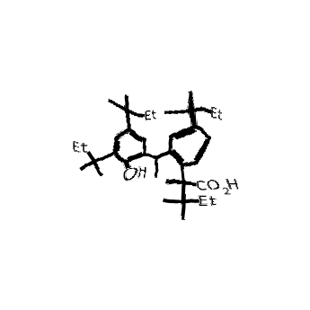 CCC(C)(C)c1ccc(C(C)(C(=O)O)C(C)(C)CC)c(C(C)c2cc(C(C)(C)CC)cc(C(C)(C)CC)c2O)c1